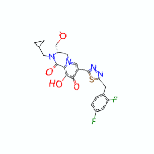 COC[C@@H]1Cn2cc(-c3nnc(Cc4ccc(F)cc4F)s3)c(=O)c(O)c2C(=O)N1CC1CC1